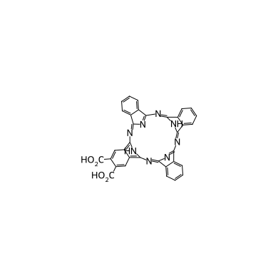 O=C(O)c1cc2c3nc4nc(nc5[nH]c(nc6nc(nc([nH]3)c2cc1C(=O)O)-c1ccccc1-6)c1ccccc51)-c1ccccc1-4